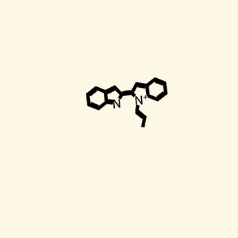 CC=C[N+]1=c2ccccc2=CC1=C1C=c2ccccc2=N1